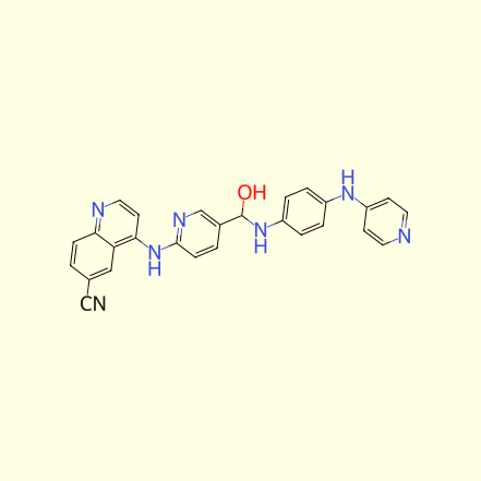 N#Cc1ccc2nccc(Nc3ccc(C(O)Nc4ccc(Nc5ccncc5)cc4)cn3)c2c1